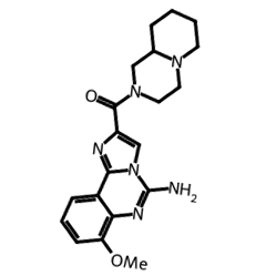 COc1cccc2c1nc(N)n1cc(C(=O)N3CCN4CCCCC4C3)nc21